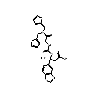 C[C@@](CC(=O)O)(NC(=O)NCC(=O)N(Cc1cccs1)Cc1cccs1)c1ccc2c(c1)OCO2